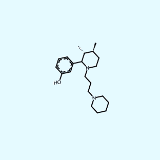 C[C@H]1CCN(CCCN2CCCCC2)C(c2cccc(O)c2)[C@@H]1C